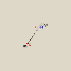 CC(C)(C)OC(=O)CCCCCCCCCCC(=O)NCC(=O)O